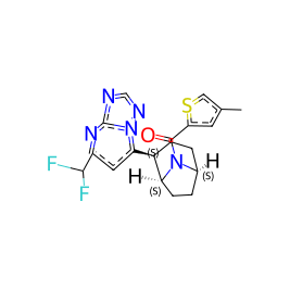 Cc1csc(C(=O)N2[C@H]3CC[C@H](c4cc(C(F)F)nc5ncnn45)[C@@H]2CC3)c1